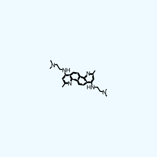 Cc1cc(NCCN(C)C)c2ccc3c(ccc4c(NCCN(C)C)cc(C)nc43)c2n1